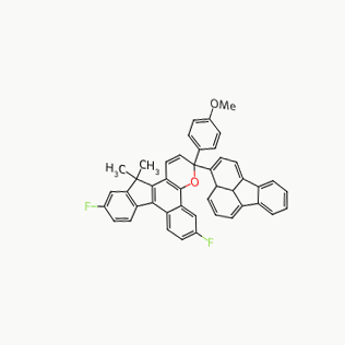 COc1ccc(C2(C3=CC=C4c5ccccc5C5=CC=CC3C54)C=Cc3c4c(c5ccc(F)cc5c3O2)-c2ccc(F)cc2C4(C)C)cc1